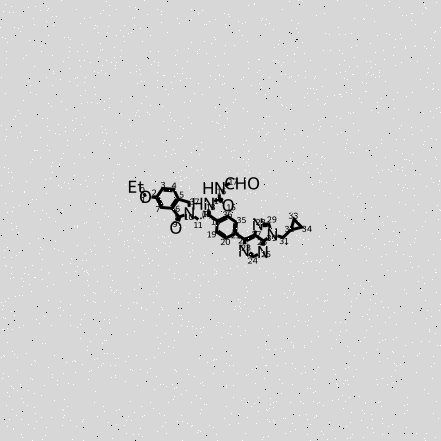 CCOc1ccc2c(c1)C(=O)N(C[C@H](NC(=O)NC=O)c1ccc(-c3ncnc4c3ncn4CC3CC3)cc1)C2